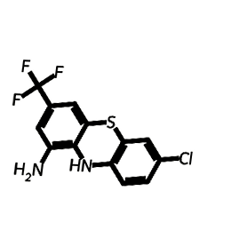 Nc1cc(C(F)(F)F)cc2c1Nc1ccc(Cl)cc1S2